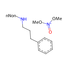 CCCCCCCCCNCCCc1ccccc1.CO[N+](=O)OC